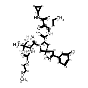 CCC[C@H](NC(=O)[C@@H]1C[C@]2(CC(c3cccc(Cl)c3)=NO2)CN1C(=O)[C@@H](NC(=O)OCCOC)C(C)(C)C)C(=O)C(=O)NC1CC1